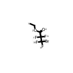 CCOC(=O)C(F)(F)C(F)(F)Br